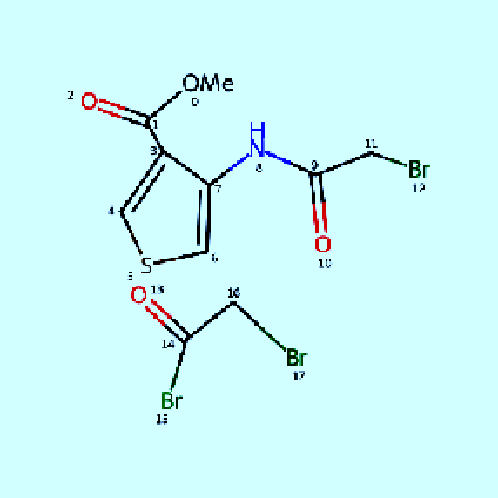 COC(=O)c1cscc1NC(=O)CBr.O=C(Br)CBr